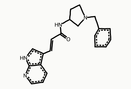 O=C(C=Cc1c[nH]c2ncccc12)NC1CCN(Cc2ccccc2)C1